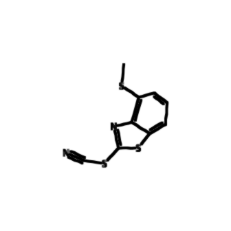 CSc1cccc2sc(SC#N)nc12